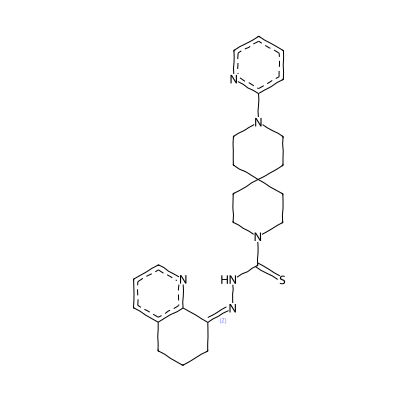 S=C(N/N=C1/CCCc2cccnc21)N1CCC2(CC1)CCN(c1ccccn1)CC2